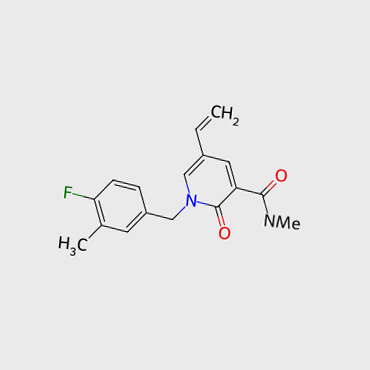 C=Cc1cc(C(=O)NC)c(=O)n(Cc2ccc(F)c(C)c2)c1